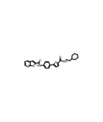 O=C(NCCC1CCCCC1)c1ccc(-c2ccc(NC(=O)c3cc4cccnc4s3)cc2)o1